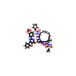 O=C(N[C@H]1CCCCC/C=C\[C@@H]2C[C@@]2(C(=O)NS(=O)(=O)C2CC2)NC(=O)[C@@H]2C[C@@H](Oc3nc(-c4ccc5c(c4)OCO5)nc4c3oc3ccccc34)CN2C1=O)OC1CCCC1